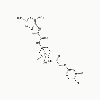 Cc1cc(C)n2nc(C(=O)NC34CCC(NC(=O)COc5ccc(Cl)c(F)c5)(CC3)[C@@H](O)C4)nc2n1